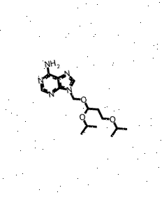 CC(C)OCCC(OCn1cnc2c(N)ncnc21)OC(C)C